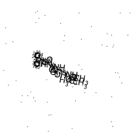 CC(C)(C)OC(=O)NCCCCC(NC(=O)CNC(=O)OCC1c2ccccc2-c2ccccc21)C(=O)O